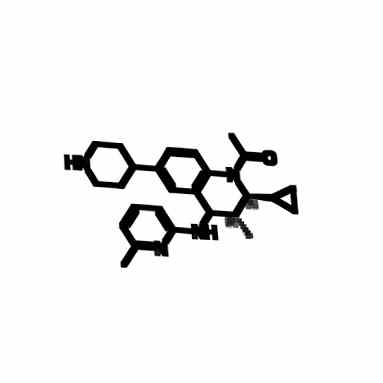 CC(=O)N1c2ccc(C3CCNCC3)cc2C(Nc2cccc(C)n2)[C@@H](C)[C@@H]1C1CC1